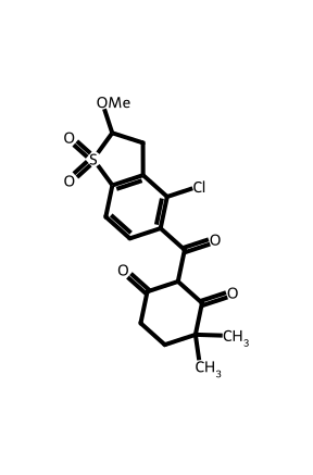 COC1Cc2c(ccc(C(=O)C3C(=O)CCC(C)(C)C3=O)c2Cl)S1(=O)=O